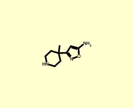 CC1(c2cc(N)on2)CCNCC1